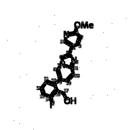 COc1ccc(-c2cn3cc(-c4cccc(F)c4CO)ccc3n2)cn1